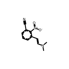 CN(C)/C=C/c1cccc(C#N)c1[N+](=O)[O-]